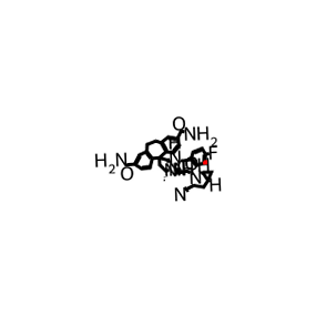 C[C@H](CC1(c2nnc(-c3ccc(F)cc3)[nH]2)c2ccc(C(N)=O)cc2CCc2cc(C(N)=O)ccc21)NCC(=O)N1C(C#N)C[C@@H]2C[C@@H]21